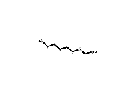 CCCCCOCCCCC[NH]